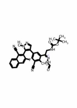 Cc1c(C#N)cc(-c2cnn(C)c2-c2c(F)cc3ccccc3c2C#N)cc1/C(CNC(=O)OC(C)(C)C)=N\NC=O